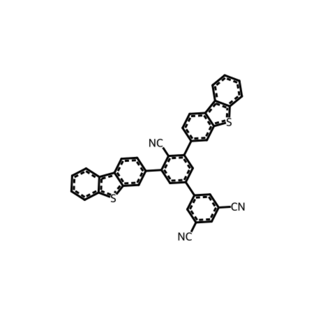 N#Cc1cc(C#N)cc(-c2cc(-c3ccc4c(c3)sc3ccccc34)c(C#N)c(-c3ccc4c(c3)sc3ccccc34)c2)c1